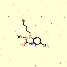 CC(C)(C)OC(N)=O.Cc1ccc(OCCCCBr)cc1